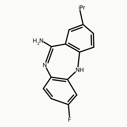 CC(C)c1ccc2c(c1)C(N)=Nc1ccc(F)cc1N2